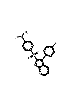 CN(C)c1ccc(S(=O)(=O)c2sc3ncccc3c2-c2ccc(Cl)cc2)cc1